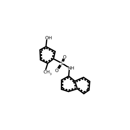 Cc1ccc(O)cc1S(=O)(=O)Nc1cccc2ccccc12